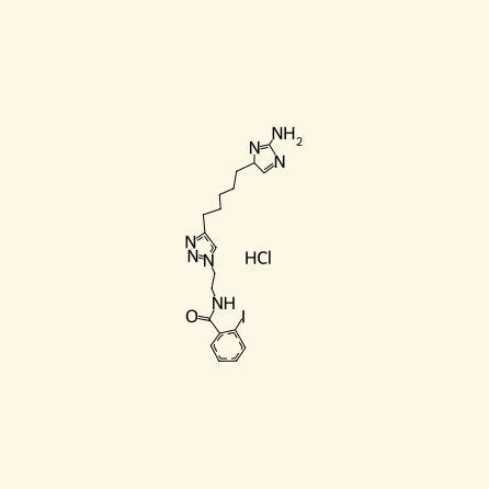 Cl.NC1=NC(CCCCCc2cn(CCNC(=O)c3ccccc3I)nn2)C=N1